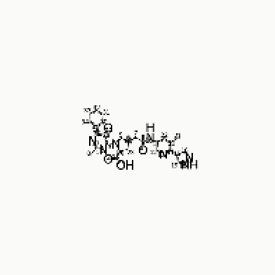 Cc1nc(N2C[C@@H](CC(=O)Nc3cnc(-c4cn[nH]c4)c(C)c3)C[C@H]2C(=O)O)c2oc3ccccc3c2n1